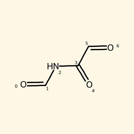 O=CNC(=O)C=O